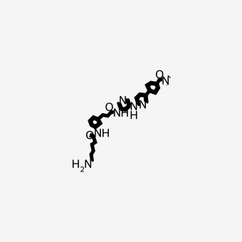 CN(C)C(=O)c1ccc(-c2ccc(Nc3cncc(NC(=O)CCc4cccc(NC(=O)CCCCCN)c4)c3)nc2)cc1